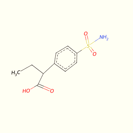 CCC(C(=O)O)c1ccc(S(N)(=O)=O)cc1